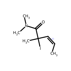 C/C=C\C(C)(I)C(=O)N(C)C